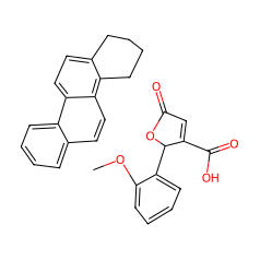 COc1ccccc1C1OC(=O)C=C1C(=O)O.c1ccc2c(c1)ccc1c3c(ccc12)CCCC3